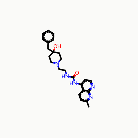 Cc1ccc2c(NC(=O)NCCN3CCC(O)(Cc4ccccc4)CC3)ccnc2n1